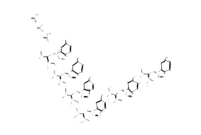 CN(C)C(On1nnc2ccc(Cl)cc21)=[N+](C)C.CN(C)C(On1nnc2ccc(Cl)cc21)=[N+](C)C.CN(C)C(On1nnc2ccc(Cl)cc21)=[N+](C)C.CN(C)C(On1nnc2ccc(Cl)cc21)=[N+](C)C.CN(C)C(On1nnc2ccc(Cl)cc21)=[N+](C)C.CN(C)C(On1nnc2ccc(Cl)cc21)=[N+](C)C.[O-]B([O-])F.[O-]B([O-])F.[O-]B([O-])F